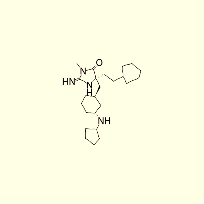 CN1C(=N)N[C@](CCC2CCCCC2)(C[C@@H]2CCC[C@@H](NC3CCCC3)C2)C1=O